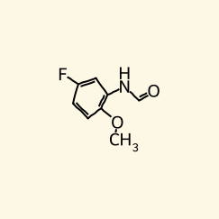 COc1ccc(F)cc1NC=O